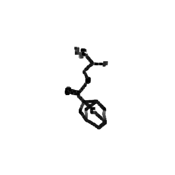 CC(F)COC(=O)C12CC3CC(CC1C3)C2